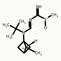 C[C@@H]1C2CC1(N(/C=N/C(=N)[S+](C)[O-])C(C)(C)C)C2